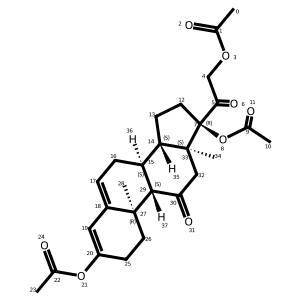 CC(=O)OCC(=O)[C@@]1(OC(C)=O)CC[C@H]2[C@@H]3CC=C4C=C(OC(C)=O)CC[C@]4(C)[C@H]3C(=O)C[C@@]21C